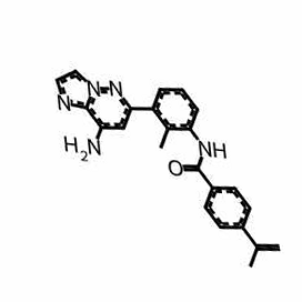 C=C(C)c1ccc(C(=O)Nc2cccc(-c3cc(N)c4nccn4n3)c2C)cc1